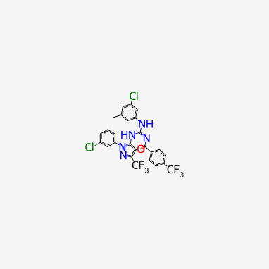 Cc1cc(Cl)cc(N/C(=N/C(=O)c2ccc(C(F)(F)F)cc2)Nc2cc(C(F)(F)F)nn2-c2cccc(Cl)c2)c1